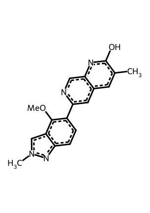 COc1c(-c2cc3cc(C)c(O)nc3cn2)ccc2nn(C)cc12